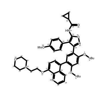 CCCCOc1cc(OCCCC)c(-c2ccc(OCCN3CCOCC3)c3ncccc23)cc1-c1noc(NC(=O)C2CC2)c1-c1ccc(OC)cc1